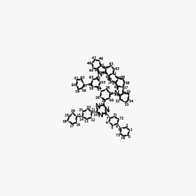 c1ccc(-c2ccc(-c3nc(-c4ccc(-c5ccccc5)cc4)nc(-c4cccc(-n5c6ccccc6c6ccc7c8ccc9c%10ccccc%10n(-c%10cccc(-c%11ccccc%11)c%10)c9c8sc7c65)c4)n3)cc2)cc1